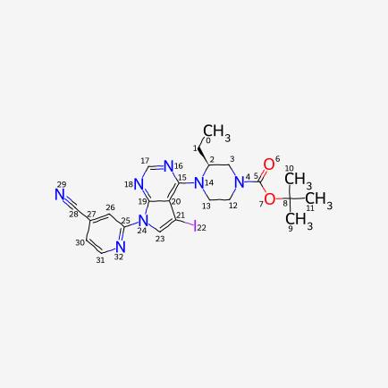 CC[C@H]1CN(C(=O)OC(C)(C)C)CCN1c1ncnc2c1c(I)cn2-c1cc(C#N)ccn1